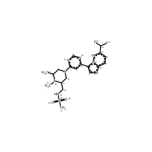 CC1CN(c2cc(-c3cnc4ccc(C(F)F)nn34)ncn2)CC(CNS(C)(=O)=O)N1C